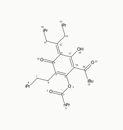 CCCC(=O)OC1=C(CCC(C)C)C(=O)C(=C(CC(C)C)CC(C)C)C(O)=C1C(=O)C(C)CC